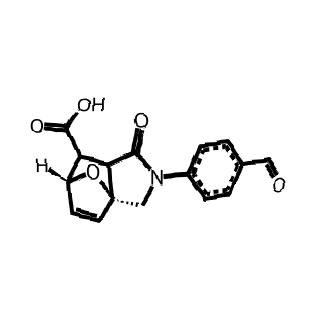 O=Cc1ccc(N2C[C@]34C=C[C@@H](O3)C(C(=O)O)C4C2=O)cc1